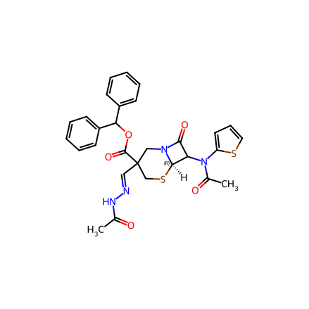 CC(=O)NN=CC1(C(=O)OC(c2ccccc2)c2ccccc2)CS[C@@H]2C(N(C(C)=O)c3cccs3)C(=O)N2C1